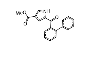 COC(=O)c1c[nH]c(C(=O)c2ccccc2-c2ccccc2)c1